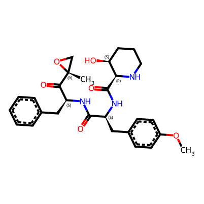 COc1ccc(C[C@H](NC(=O)[C@@H]2NCCC[C@@H]2O)C(=O)N[C@@H](Cc2ccccc2)C(=O)[C@@]2(C)CO2)cc1